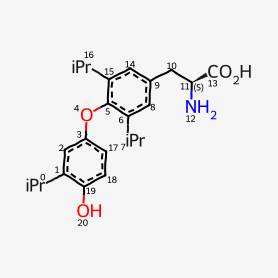 CC(C)c1cc(Oc2c(C(C)C)cc(C[C@H](N)C(=O)O)cc2C(C)C)ccc1O